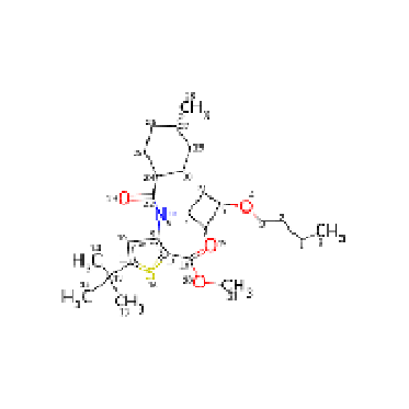 CCCCO[C@H]1C[C@H](N(c2cc(C(C)(C)C)sc2C(=O)OC)C(=O)[C@H]2CC[C@H](C)CC2)C1